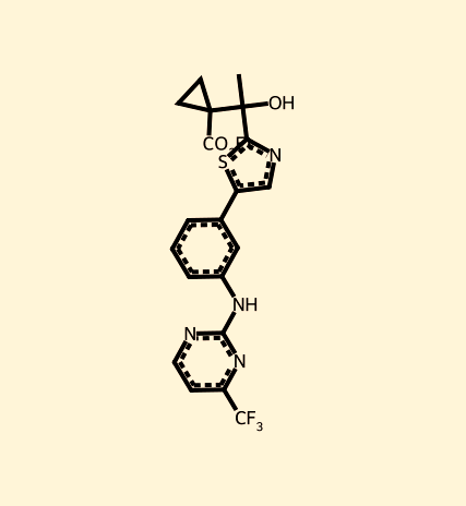 CCOC(=O)C1(C(C)(O)c2ncc(-c3cccc(Nc4nccc(C(F)(F)F)n4)c3)s2)CC1